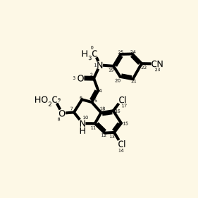 CN(C(=O)/C=C1\CC(OC(=O)O)Nc2cc(Cl)cc(Cl)c21)c1ccc(C#N)cc1